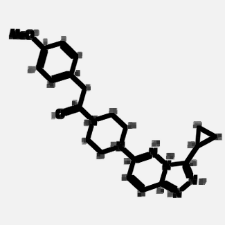 COc1ccc(CC(=O)N2CCN(c3ccc4nnc(C5CC5)n4n3)CC2)cc1